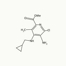 COC(=O)c1nc(Cl)c(N)c(NCC2CC2)c1C